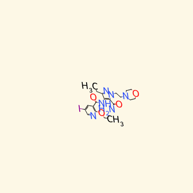 CCOc1ncc(I)cc1C(=O)Nc1c(CC)nn(CCN2CCOCC2)c1C(N)=O